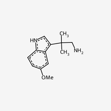 COc1ccc2[nH]cc(C(C)(C)CN)c2c1